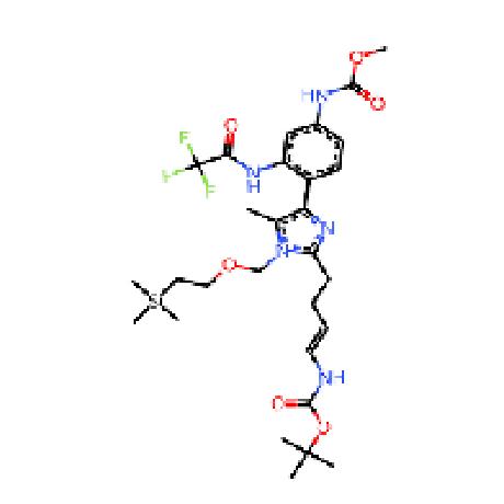 COC(=O)Nc1ccc(-c2nc(CCC=CNC(=O)OC(C)(C)C)n(COCC[Si](C)(C)C)c2C)c(NC(=O)C(F)(F)F)c1